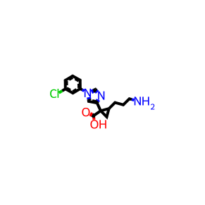 NCCCC1CC1(C(=O)O)c1cn(-c2cccc(Cl)c2)cn1